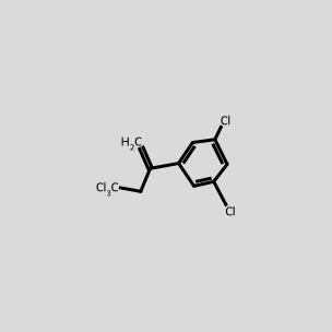 C=C(CC(Cl)(Cl)Cl)c1cc(Cl)cc(Cl)c1